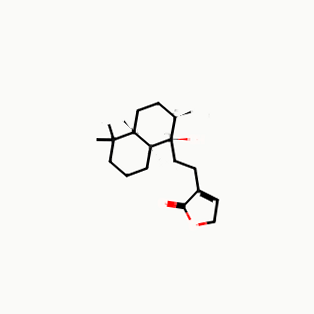 C[C@@H]1CC[C@H]2C(C)(C)CCC[C@]2(C)[C@@]1(O)CCC1=CCOC1=O